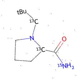 CC(C)(C)[13CH2]N1CCC[13CH]1C([15NH2])=O